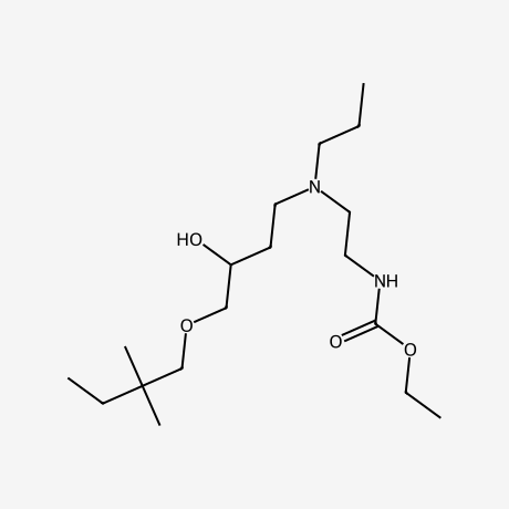 CCCN(CCNC(=O)OCC)CCC(O)COCC(C)(C)CC